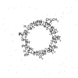 C/C=C/C[C@@H](C)[C@@H](O)[C@H]1C(=O)N[C@@H](CC)C(=O)N(C)CC(=O)N(C)[C@@H](CC(C)C)C(=O)N[C@H](C(C)C)C(=O)N(C)[C@H](CCC(C)C)C(=O)N[C@H](C)C(=O)N[C@@H](C)C(=O)N(C)[C@@H](CC(C)C)C(=O)N(C)[C@@H](CC(C)C)C(=O)N(C)[C@@H](C(C)C)C(=O)N1C